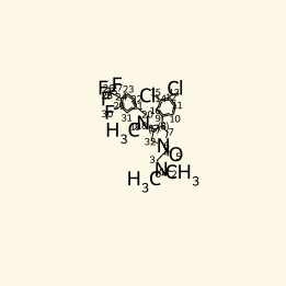 CN(C)CC(=O)N1C[C@H](c2ccc(Cl)c(Cl)c2)[C@H](N(C)Cc2ccc(C(F)(F)F)c(F)c2)C1